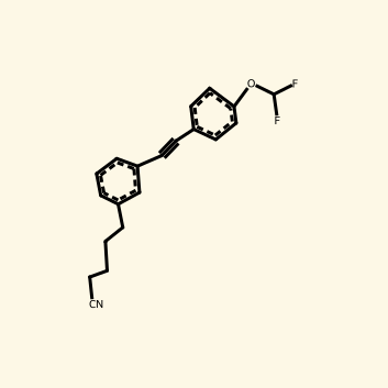 N#CCCCCc1cccc(C#Cc2ccc(OC(F)F)cc2)c1